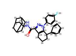 O=C(NC12CC3CC(CC(C3)C1)C2)c1nn(-c2ccc(F)cc2)c2c1CCCC2c1ccccc1